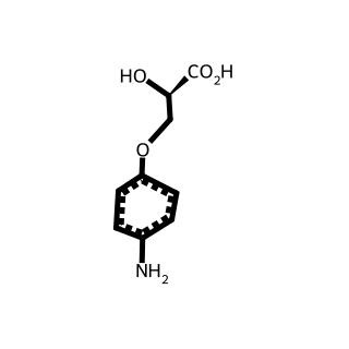 Nc1ccc(OC[C@@H](O)C(=O)O)cc1